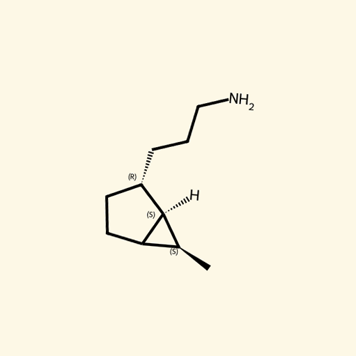 C[C@H]1C2CC[C@H](CCCN)[C@H]21